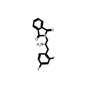 N[C@@H](Cc1ccc(F)cc1F)CN1C(=O)c2ccccc2C1=O